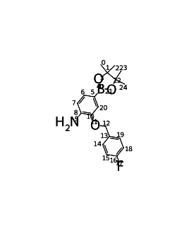 CC1(C)OB(c2ccc(N)c(OCc3ccc(F)cc3)c2)OC1(C)C